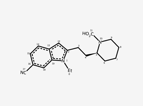 CCn1c(CC[C@@H]2CCCCN2C(=O)O)cc2ccc(C#N)cc21